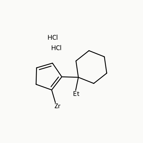 CCC1(C2=[C]([Zr])CC=C2)CCCCC1.Cl.Cl